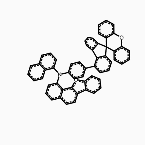 c1ccc2c(c1)Oc1ccccc1C21c2ccccc2-c2c(-c3ccc(N(c4cccc5ccccc45)c4cccc5ccc6c7ccccc7oc6c45)cc3)cccc21